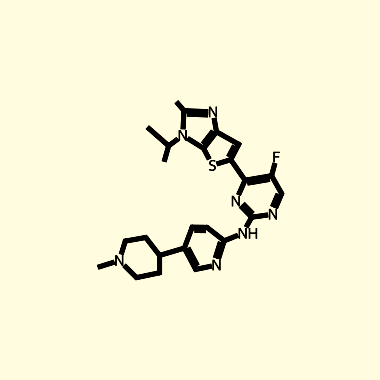 Cc1nc2cc(-c3nc(Nc4ccc(C5CCN(C)CC5)cn4)ncc3F)sc2n1C(C)C